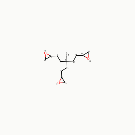 CCC(CCC1CO1)(CCC1CO1)CCC1CO1